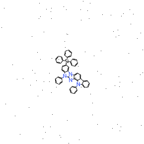 c1ccc(-n2c3ccccc3c3ccc4c(nc5n(-c6ccccc6)c6ccc([Si](c7ccccc7)(c7ccccc7)c7ccccc7)cc6n45)c32)cc1